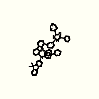 CC1(C)c2ccccc2-c2ccc(N(c3ccc(-c4ccccc4)cc3)c3cccc4c5cccc(-c6cccc(-c7nc(-c8ccccc8)nc(-c8ccccc8)n7)c6)c5n(-c5ccccc5)c34)cc21